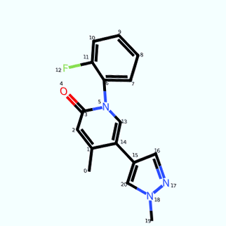 Cc1cc(=O)n(-c2ccccc2F)cc1-c1cnn(C)c1